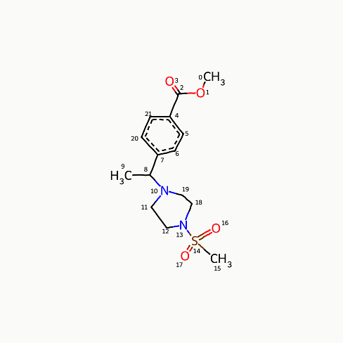 COC(=O)c1ccc(C(C)N2CCN(S(C)(=O)=O)CC2)cc1